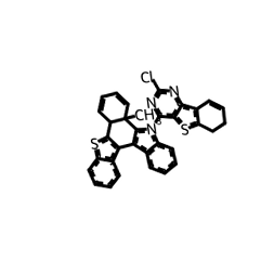 CC12C=CC=CC1c1sc3ccccc3c1-c1c2n(-c2nc(Cl)nc3c4c(sc23)CCC=C4)c2ccccc12